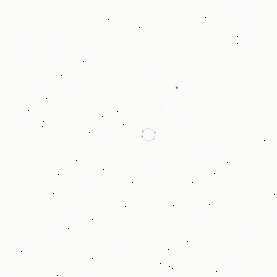 CCOCCOCCOc1ccc(CCCC(O)C(=O)OCC)cc1